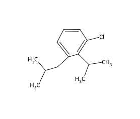 CC(C)Cc1cccc(Cl)c1C(C)C